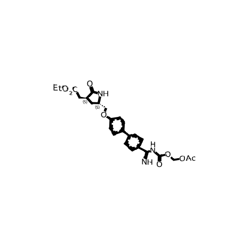 CCOC(=O)C[C@@H]1C[C@@H](COc2ccc(-c3ccc(C(=N)NC(=O)OCOC(C)=O)cc3)cc2)NC1=O